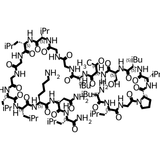 CC[C@H](C)[C@H](N)C(=O)N[C@@H](CC(C)C)C(=O)NCC(=O)N1CCC[C@H]1C(=O)N[C@H](C(=O)N[C@H](C(=O)N[C@@H](CO)C(=O)N[C@H](C(=O)N[C@H](C(=O)NCC(=O)NCC(=O)N[C@H](C(=O)N[C@@H](CC(C)C)C(=O)NCC(=O)NCC(=O)N[C@@H](CC(C)C)C(=O)N[C@@H](CC(C)C)C(=O)N[C@@H](CCCCN)C(=O)N[C@@H](CC(N)=O)C(=O)N[C@@H](CC(C)C)C(N)=O)C(C)C)[C@@H](C)CC)[C@@H](C)O)[C@@H](C)CC)C(C)C